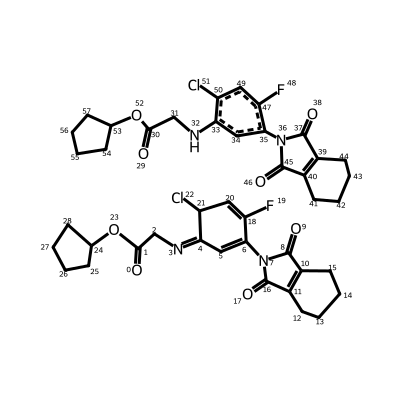 O=C(CN=C1C=C(N2C(=O)C3=C(CCCC3)C2=O)C(F)=CC1Cl)OC1CCCC1.O=C(CNc1cc(N2C(=O)C3=C(CCCC3)C2=O)c(F)cc1Cl)OC1CCCC1